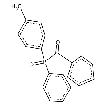 Cc1ccc(P(=O)(C(=O)c2ccccc2)c2ccccc2)cc1